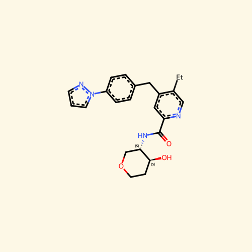 CCc1cnc(C(=O)N[C@H]2COCC[C@@H]2O)cc1Cc1ccc(-n2cccn2)cc1